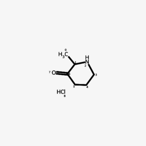 CC1NCCCC1=O.Cl